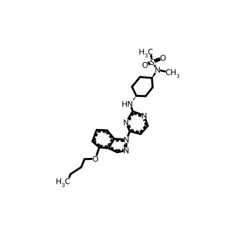 CCCCOc1cccc2c1cnn2-c1ccnc(N[C@H]2CC[C@H](N(C)S(C)(=O)=O)CC2)n1